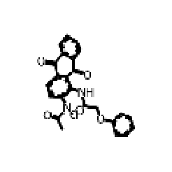 CC(=O)N(Cl)c1ccc2c(c1NC(=O)COc1ccccc1)C(=O)c1ccccc1C2=O